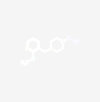 COc1ncccc1CN1CCN(SS)CC1